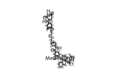 CC[C@@H]1c2nnc(C)n2-c2cnc(Nc3ccc(C(=O)NC4CCN(CCOCCOc5ccc(NC6CCC(=O)NC6=O)cc5F)CC4)cc3OC)nc2N1CC1CCCCC1